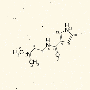 CN(C)CCNC(=O)c1cc[nH]c1